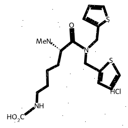 CN[C@@H](CCCCNC(=O)O)C(=O)N(Cc1cccs1)Cc1cccs1.Cl